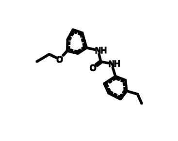 CCOc1cccc(NC(=O)Nc2cccc(CC)c2)c1